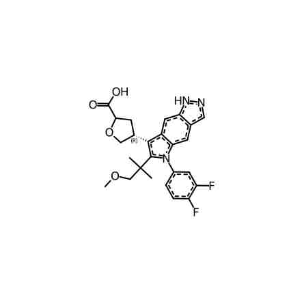 COCC(C)(C)c1c([C@@H]2COC(C(=O)O)C2)c2cc3[nH]ncc3cc2n1-c1ccc(F)c(F)c1